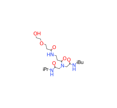 CCC(C)NC(=O)CN(CC(=O)NC(C)C)C(=O)CCNC(=O)CCOCCO